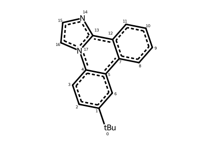 CC(C)(C)c1ccc2c(c1)c1ccccc1c1nccn21